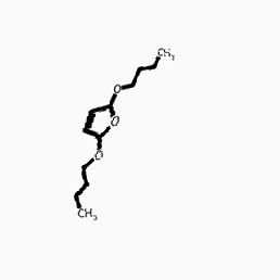 CCCCOC1C=CC(OCCCC)O1